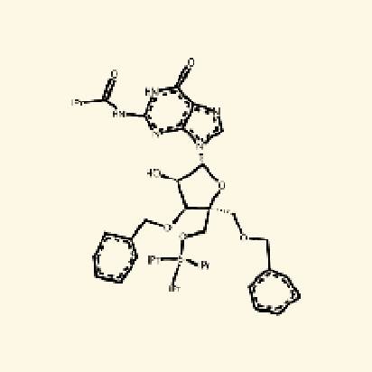 CC(C)C(=O)Nc1nc2c(ncn2[C@@H]2O[C@@](COCc3ccccc3)(CO[Si](C(C)C)(C(C)C)C(C)C)[C@@H](OCc3ccccc3)[C@H]2O)c(=O)[nH]1